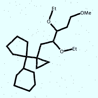 CCOC(CCOC)C(CC1(C2(C3CCCCC3)CCCC2)CC1)OCC